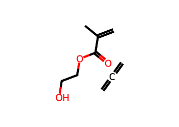 C=C(C)C(=O)OCCO.C=C=C